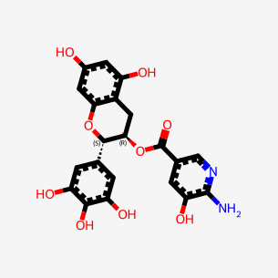 Nc1ncc(C(=O)O[C@@H]2Cc3c(O)cc(O)cc3O[C@H]2c2cc(O)c(O)c(O)c2)cc1O